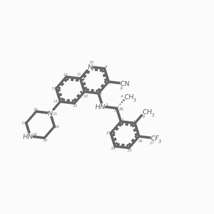 Cc1c([C@@H](C)Nc2c(C#N)cnc3ccc(N4CCNCC4)cc23)cccc1C(F)(F)F